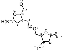 B[C@H]1C[C@@H](CNOC[C@H]2O[C@@H](B)C[C@H]2C)[C@@H](CO)O1